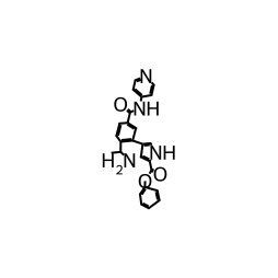 CC(N)c1ccc(C(=O)Nc2ccncc2)cc1-c1c[nH]c(C(=O)Oc2ccccc2)c1